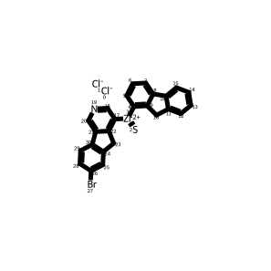 [Cl-].[Cl-].[S]=[Zr+2]([c]1cccc2c1Cc1ccccc1-2)[c]1cncc2c1Cc1cc(Br)ccc1-2